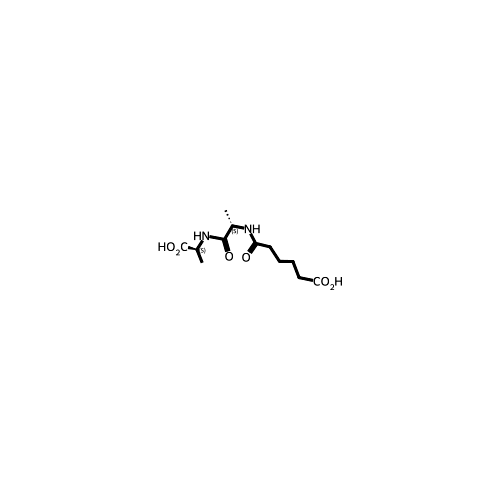 C[C@H](NC(=O)[C@H](C)NC(=O)CCCCC(=O)O)C(=O)O